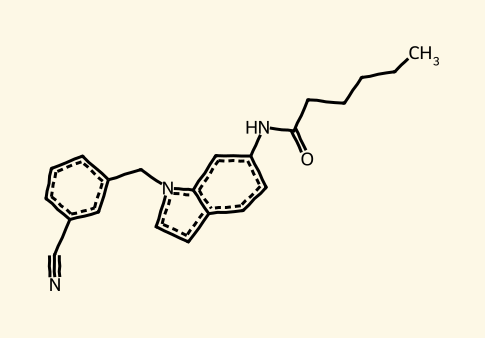 CCCCCC(=O)Nc1ccc2ccn(Cc3cccc(C#N)c3)c2c1